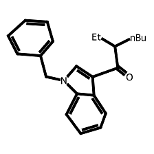 CCCCC(CC)C(=O)c1cn(Cc2ccccc2)c2ccccc12